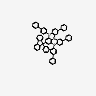 c1ccc(-c2ccc(N3c4ccc(-c5ccccc5)cc4B4c5cc(-c6ccccc6)ccc5N(c5ccc(-c6ccccc6)cc5)c5cc(C6(c7ccccc7)c7ccccc7-c7ccccc76)cc3c54)cc2)cc1